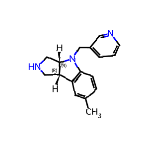 Cc1ccc2c(c1)[C@@H]1CNC[C@@H]1N2Cc1cccnc1